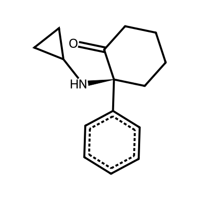 O=C1CCCC[C@]1(NC1CC1)c1ccccc1